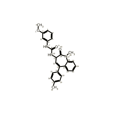 COc1cccc(NC(=O)NC2C=C(c3ccc(C)cc3)c3ccccc3N(C)C2=O)c1